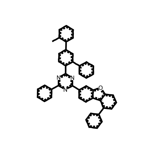 Cc1ccccc1-c1ccc(-c2nc(-c3ccccc3)nc(-c3ccc4c(c3)oc3cccc(-c5ccccc5)c34)n2)c(-c2ccccc2)c1